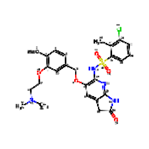 COc1ccc(COc2cc3c(nc2NS(=O)(=O)c2cccc(Cl)c2C)NC(=O)C3)cc1OCCN(C)C